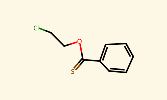 S=C(OCCCl)c1ccccc1